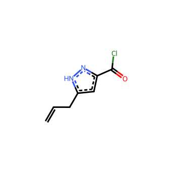 C=CCc1cc(C(=O)Cl)n[nH]1